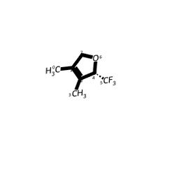 CC1=C(C)[C@@H](C(F)(F)F)OC1